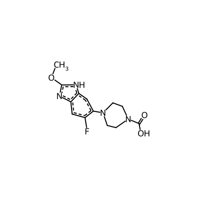 COc1nc2cc(F)c(N3CCN(C(=O)O)CC3)cc2[nH]1